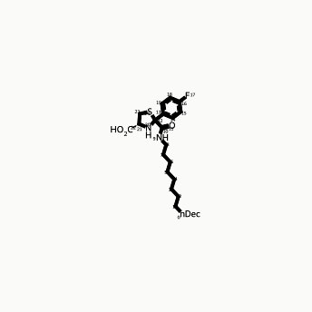 CCCCCCCCCCCCCCCCCCNC(=O)C1(c2ccc(F)cc2)N[C@H](C(=O)O)CS1